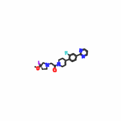 CO[C@@]1(I)CCN(CC(=O)N2CC=C(c3ccc(-c4ncccn4)cc3F)CC2)C1